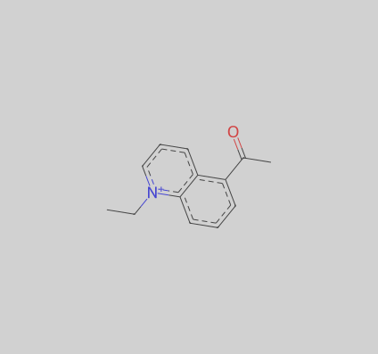 CC[n+]1cccc2c(C(C)=O)cccc21